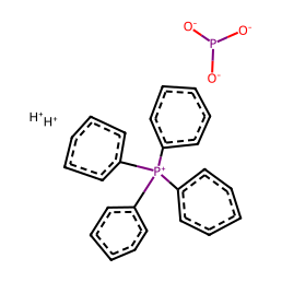 [H+].[H+].[O-]P([O-])[O-].c1ccc([P+](c2ccccc2)(c2ccccc2)c2ccccc2)cc1